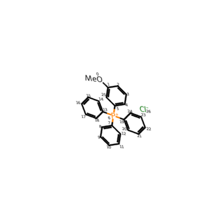 COc1cccc([P+](c2ccccc2)(c2ccccc2)c2ccccc2)c1.[Cl-]